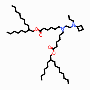 CCCCCCCCC(CCCCCC)COC(=O)CCCCCN(CCCCCC(=O)OCC(CCCCCC)CCCCCCCC)CCN(CCC)C1CCC1